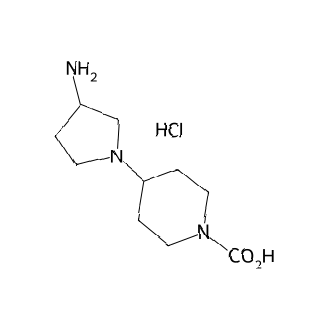 Cl.NC1CCN(C2CCN(C(=O)O)CC2)C1